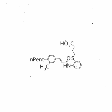 CCCCCc1ccc(C=CC(=O)Nc2ccccc2SCCCC(=O)O)cc1C